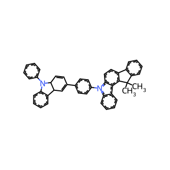 CC1(C)c2ccccc2-c2ccc3c(c21)c1ccccc1n3-c1ccc(C2=CC3c4ccccc4N(c4ccccc4)C3C=C2)cc1